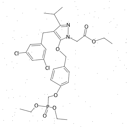 CCOC(=O)Cn1nc(C(C)C)c(Cc2cc(Cl)cc(Cl)c2)c1OCc1ccc(OCP(=O)(OCC)OCC)cc1